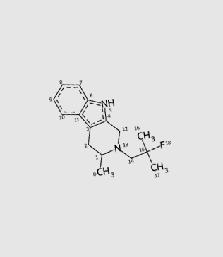 CC1Cc2c([nH]c3ccccc23)CN1CC(C)(C)F